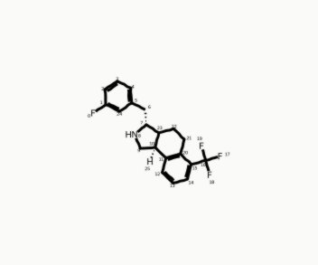 Fc1cccc(C[C@H]2NC[C@@H]3c4cccc(C(F)(F)F)c4CCC32)c1